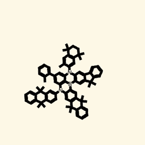 Cc1ccccc1-c1cc2c3c(c1)N(c1cc4c(cc1C)C(C)(C)CCC4(C)C)c1cc4c(cc1B3c1cc3c(cc1N2c1ccc2c(c1)C(C)(C)c1ccccc1C2(C)C)C(C)(C)c1ccccc1C3(C)C)C(C)(C)c1ccccc1-4